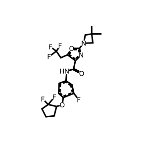 CC1(C)CN(c2nc(C(=O)Nc3ccc(OC4CCCC4(F)F)c(F)c3)c(CC(F)(F)F)o2)C1